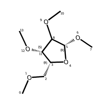 COC[C@H]1O[C@@H](OC)C(OC)[C@H]1OC